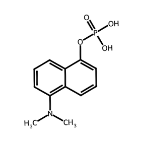 CN(C)c1cccc2c(OP(=O)(O)O)cccc12